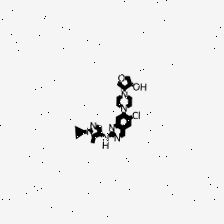 Cc1c(Nc2ncc3cc(Cl)c(N4CCN([C@H]5COC[C@H]5O)CC4)cc3n2)cnn1C1CC1